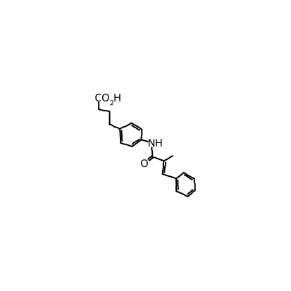 C/C(=C\c1ccccc1)C(=O)Nc1ccc(CCCC(=O)O)cc1